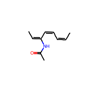 C\C=C/C=C\C(=C/C)NC(C)=O